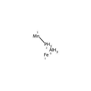 [AlH3].[Fe].[PH2][Mn]